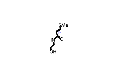 CS/C=C/C(=O)NCCO